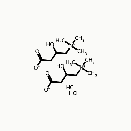 C[N+](C)(C)CC(O)CC(=O)[O-].C[N+](C)(C)CC(O)CC(=O)[O-].Cl.Cl